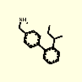 CCC(C)c1ccccc1-c1ccc(CN)cc1